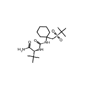 CC(C)(C)[C@H](NC(=O)NC1(CS(=O)(=O)C(C)(C)C)CCCCC1)C(N)=O